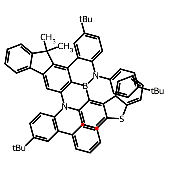 CC(C)(C)c1ccc(N2B3c4c(cc5c(c4-c4cc(C(C)(C)C)ccc42)C(C)(C)c2ccccc2-5)N(c2ccc(C(C)(C)C)cc2-c2ccccc2)c2ccc4sc5ccccc5c4c23)cc1